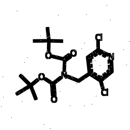 CC(C)(C)OC(=O)N(Cc1cc(Cl)ncc1Cl)C(=O)OC(C)(C)C